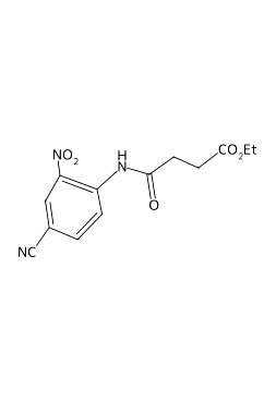 CCOC(=O)CCC(=O)Nc1ccc(C#N)cc1[N+](=O)[O-]